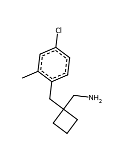 Cc1cc(Cl)ccc1CC1(CN)CCC1